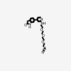 [N-]=[N+]=NCCOCCOCCOCCNc1cc(-c2ccc3c(c2)NC(=O)C3)ccn1